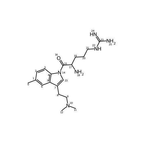 Cc1ccc2c(c1)c(CCN(C)C)cn2C(=O)C(N)CCCNC(=N)N